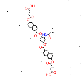 C=CC(=O)Nc1cc(OC(=O)c2ccc3cc(OC(=O)CCC(=O)O)ccc3c2)ccc1OC(=O)c1ccc2cc(OC(=O)CCC(=O)O)ccc2c1